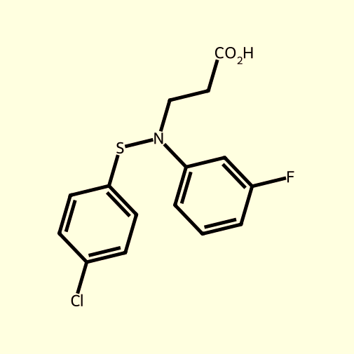 O=C(O)CCN(Sc1ccc(Cl)cc1)c1cccc(F)c1